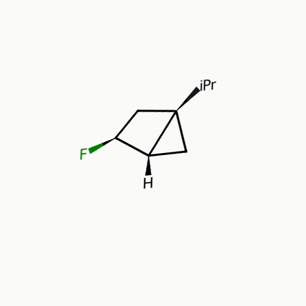 CC(C)[C@@]12C[C@@H]1[C@@H](F)C2